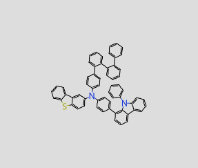 c1ccc(-c2ccccc2-c2ccccc2-c2ccc(N(c3ccc(-c4cccc5c6ccccc6n(-c6ccccc6)c45)cc3)c3ccc4sc5ccccc5c4c3)cc2)cc1